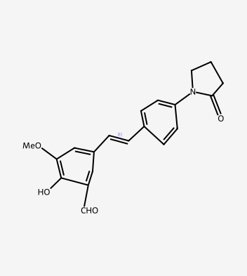 COc1cc(/C=C/c2ccc(N3CCCC3=O)cc2)cc(C=O)c1O